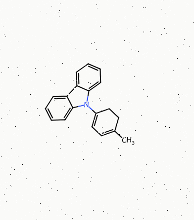 CC1=CC=C(n2c3ccccc3c3ccccc32)CC1